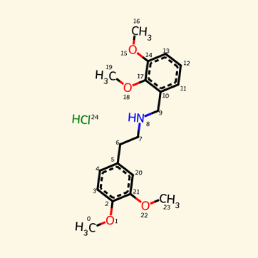 COc1ccc(CCNCc2cccc(OC)c2OC)cc1OC.Cl